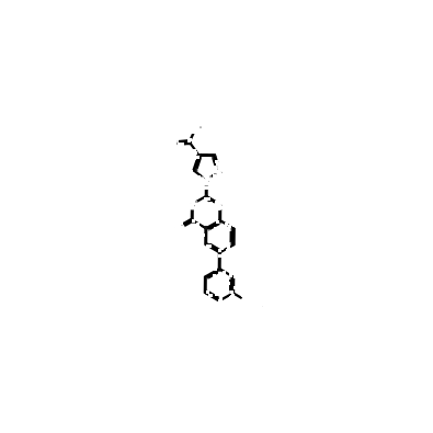 Cc1cccc(-c2ccc3nc(-n4cc(C(=O)O)cn4)[nH]c(=O)c3c2)c1